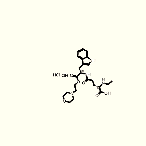 CCN[C@H](CCC(=O)N[C@H](Cc1c[nH]c2ccccc12)C(=O)OCCN1CCOCC1)C(=O)O.Cl.Cl